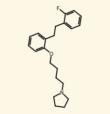 Fc1ccccc1CCc1ccccc1OCCCCN1CCCC1